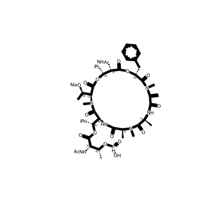 C=C1C(=O)N[C@@H](C)C(=O)N(C)[C@@H](C)C(=O)N[C@@H]([C@H](OC(=O)[C@@H](NC(C)=O)[C@@H](C)O[PH](=O)O)C(C)C)C(=O)N(C)[C@@H]([C@@H](C)OC)C(=O)O[C@H](C(C)C)[C@H](NC(C)=O)C(=O)O[C@H](Cc2ccccc2)C(=O)N1C